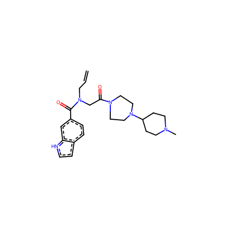 C=CCN(CC(=O)N1CCN(C2CCN(C)CC2)CC1)C(=O)c1ccc2cc[nH]c2c1